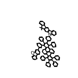 CC1(C)c2ccccc2-c2cc3c4ccccc4n(-c4ccc(-c5c(-c6ccccc6)c(-c6cccc(-c7ccc8c(c7)oc7ccccc78)c6)c6c7c8c(c9c(-c%10ccccc%10)c(-c%10ccccc%10)c(-c%10ccccc%10)c(-c%10ccccc%10)c9c9cccc(c6c5-c5ccccc5)c89)=CCC7)cc4)c3cc21